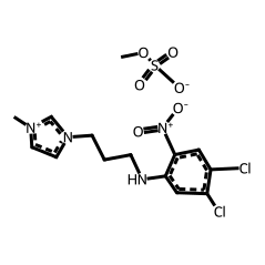 COS(=O)(=O)[O-].C[n+]1ccn(CCCNc2cc(Cl)c(Cl)cc2[N+](=O)[O-])c1